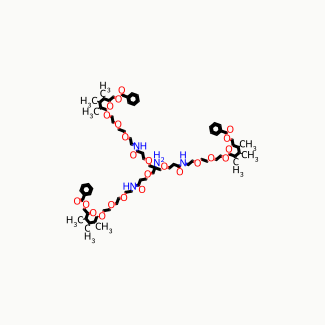 CC1[C@@H](OCCOCCOCCNC(=O)CCOCC(N)(COCCC(=O)NCCOCCOCCO[C@H]2OC(COC(=O)c3ccccc3)[C@@H](C)[C@H](C)C2C)COCCC(=O)NCCOCCOCCO[C@H]2OC(COC(=O)c3ccccc3)[C@@H](C)[C@H](C)C2C)OC(COC(=O)c2ccccc2)[C@@H](C)[C@@H]1C